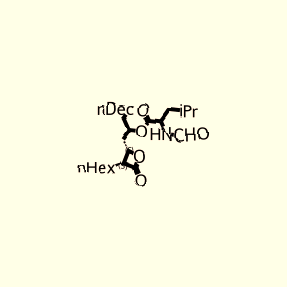 CCCCCCCCCCCC(C[C@@H]1OC(=O)[C@H]1CCCCCC)OC(=O)C(CC(C)C)NC=O